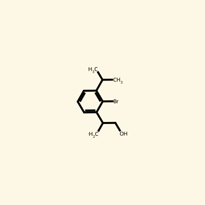 [CH2]C(CO)c1cccc(C(C)C)c1Br